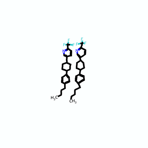 CCCCCc1ccc(C2CCC(c3ccc(C(F)(F)F)nc3)CC2)cc1.CCCCc1ccc(C2CCC(c3ccc(C(F)(F)F)nc3)CC2)cc1